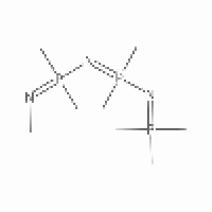 CN=P(C)(C)N=P(C)(C)N=P(C)(C)C